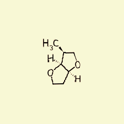 C[C@H]1CO[C@H]2CCO[C@H]21